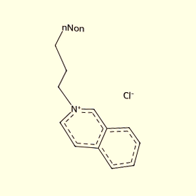 CCCCCCCCCCCC[n+]1ccc2ccccc2c1.[Cl-]